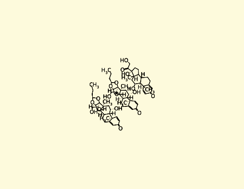 CCC[C@@H]1O[C@@H]2C[C@H]3[C@@H]4CCC5=CC(=O)C=C[C@]5(C)[C@H]4[C@@H](O)C[C@]3(C)[C@]2(C(=O)CO)O1.CCC[C@@H]1O[C@@H]2C[C@H]3[C@@H]4CCC5=CC(=O)C=C[C@]5(C)[C@H]4[C@@H](O)C[C@]3(C)[C@]2(C(=O)CO)O1.C[C@]12C=CC(=O)C=C1CC[C@@H]1[C@@H]2[C@@H](O)C[C@@]2(C)[C@H]1CC[C@]2(O)C(=O)CO